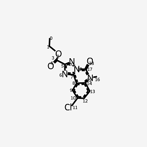 CCOC(=O)c1nc2c3cc(Cl)ccc3n(C)c(=O)n2n1